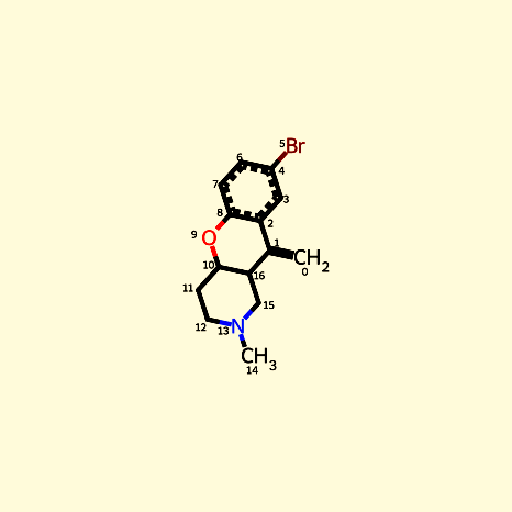 C=C1c2cc(Br)ccc2OC2CCN(C)CC12